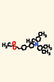 C=CC(=O)OCCc1ccc(-c2ccc(N(c3ccc(C)c(C)c3)c3ccc(C)cc3C)cc2)cc1